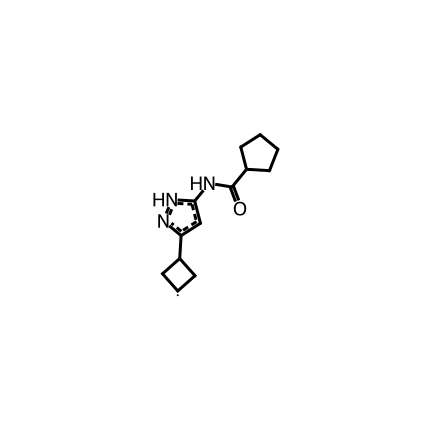 O=C(Nc1cc(C2C[CH]C2)n[nH]1)C1CCCC1